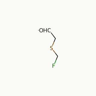 O=[C]CSCF